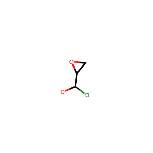 [O]C(Cl)C1CO1